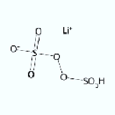 O=S(=O)([O-])OOS(=O)(=O)O.[Li+]